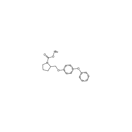 CC(C)(C)OC(=O)N1CCCC1COc1ccc(Oc2ccccc2)cc1